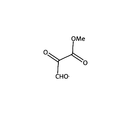 COC(=O)C(=O)[C]=O